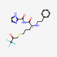 O=C(NC(=O)[C@H](CCCSCC(=O)C(F)(F)F)NCCc1ccccc1)c1ncc[nH]1